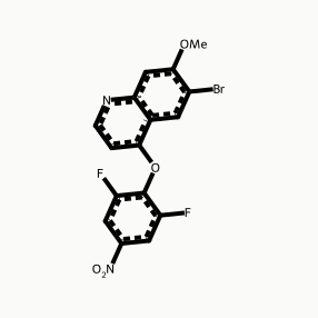 COc1cc2nccc(Oc3c(F)cc([N+](=O)[O-])cc3F)c2cc1Br